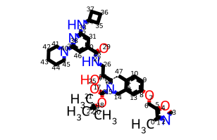 Cc1ncoc1COc1ccc2c(c1)CN(C(=O)OC(C)(C)C)[C@H]([C@H](O)CNC(=O)c1cc(NC3CCC3)nc(N3CCCCC3)c1)C2